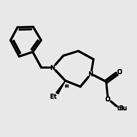 CC[C@@H]1CN(C(=O)OC(C)(C)C)CCCN1Cc1ccccc1